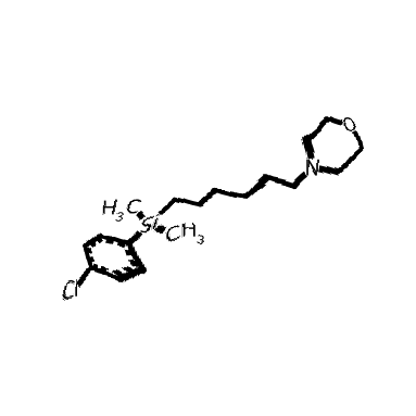 C[Si](C)(CCCCCCN1CCOCC1)c1ccc(Cl)cc1